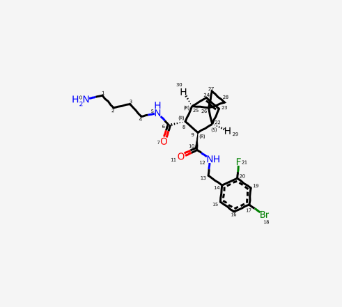 NCCCCNC(=O)[C@H]1[C@H](C(=O)NCc2ccc(Br)cc2F)[C@@H]2C=C[C@H]1C21CC1